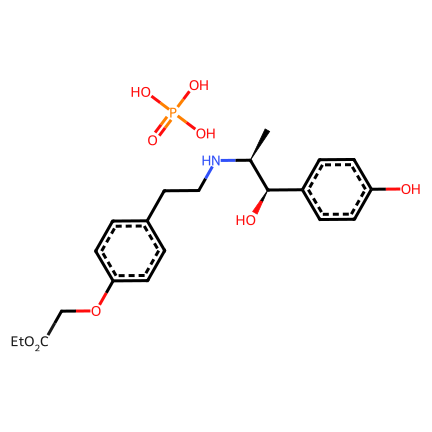 CCOC(=O)COc1ccc(CCN[C@@H](C)[C@H](O)c2ccc(O)cc2)cc1.O=P(O)(O)O